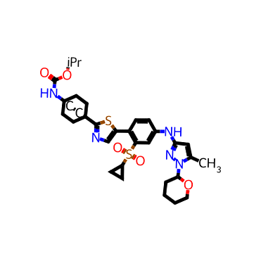 Cc1cc(Nc2ccc(-c3cnc(C45CCC(NC(=O)OC(C)C)(CC4)CC5)s3)c(S(=O)(=O)C3CC3)c2)nn1C1CCCCO1